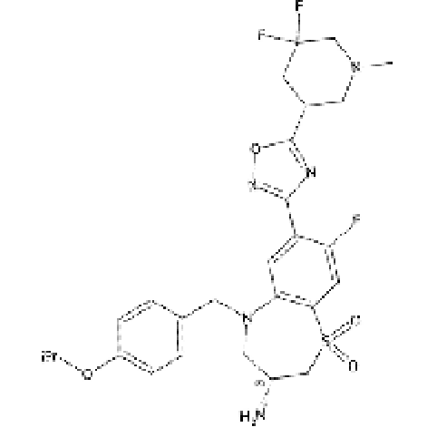 CC(C)Oc1ccc(CN2C[C@@H](N)CS(=O)(=O)c3cc(F)c(-c4noc(C5CN(C)CC(F)(F)C5)n4)cc32)cc1